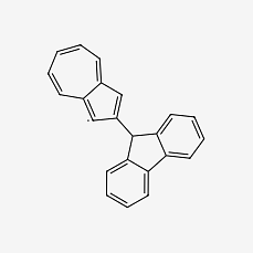 [c]1c2cccccc-2cc1C1c2ccccc2-c2ccccc21